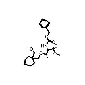 COC(=O)[C@H](NC(=O)OCc1ccccc1)[C@@H](C)OCC1(CO)CCCCC1